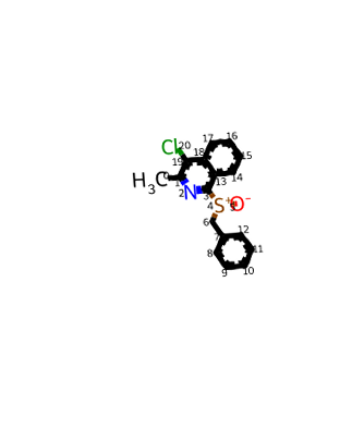 Cc1nc([S+]([O-])Cc2ccccc2)c2ccccc2c1Cl